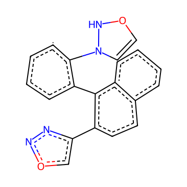 [c]1cccc(-c2c(-c3conn3)ccc3ccccc23)c1N1C=CON1